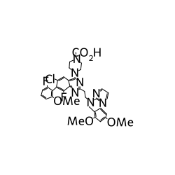 COc1ccc(CN(CCc2nc(N3CCN(C(=O)O)CC3)c3cc(Cl)c(-c4c(F)cccc4OC)c(F)c3n2)c2ncccn2)c(OC)c1